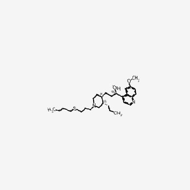 CCCCSCCCN1CC[C@@H](CC[C@@H](O)c2ccnc3ccc(OC)cc23)[C@H](CCC)C1